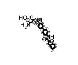 NC(=O)C[C@@H](NS(=O)(=O)c1ccc(-c2ccc(NC(=O)c3cc4ccccc4o3)cc2)cc1)C(=O)O